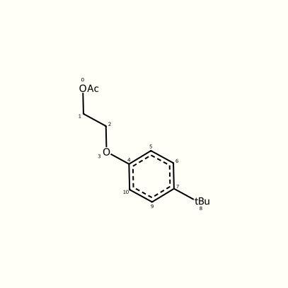 CC(=O)OCCOc1ccc(C(C)(C)C)cc1